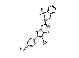 Cc1ccc(-c2nn(CC(=O)NCc3ccccc3C(F)(F)F)c(=O)n2C2CC2)cc1